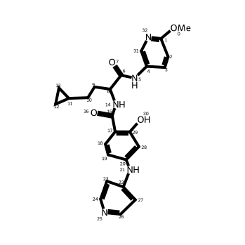 COc1ccc(NC(=O)C(CCC2CC2)NC(=O)c2ccc(Nc3ccncc3)cc2O)cn1